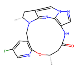 C[C@@H]1Cc2cn3ncc4c3nc2N1Cc1cc(F)cnc1O[C@@H](C)CC(=O)N4